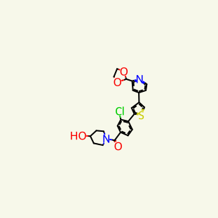 O=C(c1ccc(-c2cc(-c3ccnc(C4OCCO4)c3)cs2)c(Cl)c1)N1CCC(O)CC1